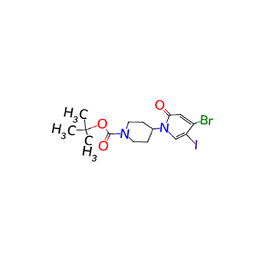 CC(C)(C)OC(=O)N1CCC(n2cc(I)c(Br)cc2=O)CC1